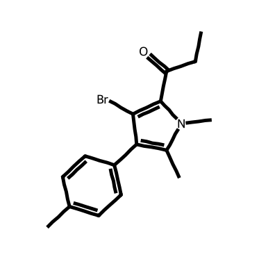 CCC(=O)c1c(Br)c(-c2ccc(C)cc2)c(C)n1C